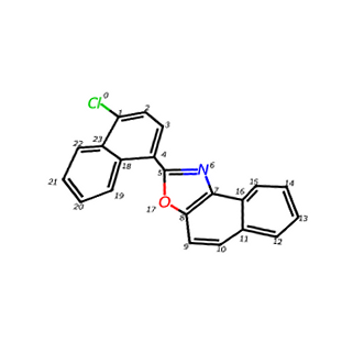 Clc1ccc(-c2nc3c(ccc4ccccc43)o2)c2ccccc12